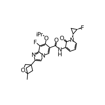 CC(C)Oc1c(C(=O)Nc2cccn([C@H]3C[C@H]3F)c2=O)cn2cc(C34COC(C)(C3)C4)nc2c1F